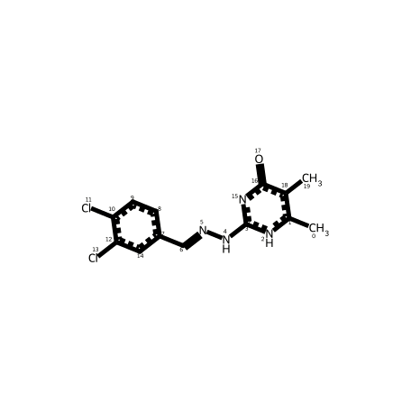 Cc1[nH]c(N/N=C/c2ccc(Cl)c(Cl)c2)nc(=O)c1C